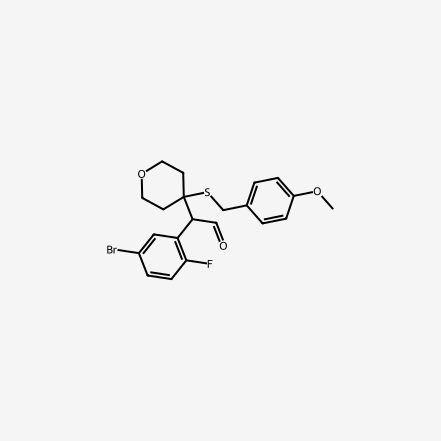 COc1ccc(CSC2(C(C=O)c3cc(Br)ccc3F)CCOCC2)cc1